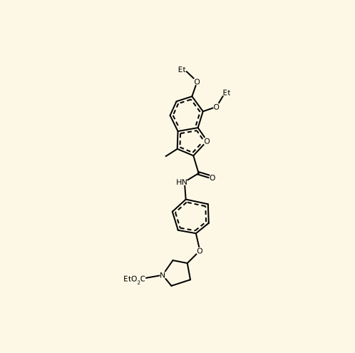 CCOC(=O)N1CCC(Oc2ccc(NC(=O)c3oc4c(OCC)c(OCC)ccc4c3C)cc2)C1